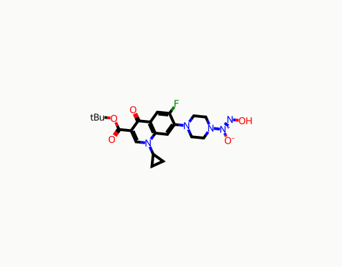 CC(C)(C)OC(=O)c1cn(C2CC2)c2cc(N3CCN(/[N+]([O-])=N/O)CC3)c(F)cc2c1=O